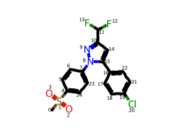 CS(=O)(=O)c1ccc(-n2nc(C(F)F)cc2-c2ccc(Cl)cc2)cc1